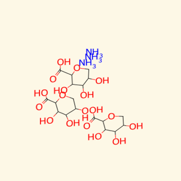 N.N.N.O=C(O)C1OCC(O)C(O)C1O.O=C(O)C1OCC(O)C(O)C1O.O=C(O)C1OCC(O)C(O)C1O